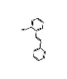 CCCc1ccccc1C=Cc1ccccc1